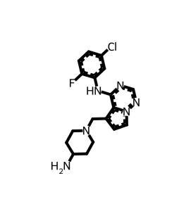 NC1CCN(Cc2ccn3ncnc(Nc4cc(Cl)ccc4F)c23)CC1